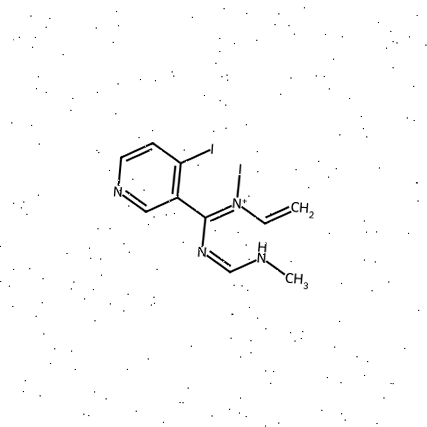 C=C/[N+](I)=C(\N=C/NC)c1cnccc1I